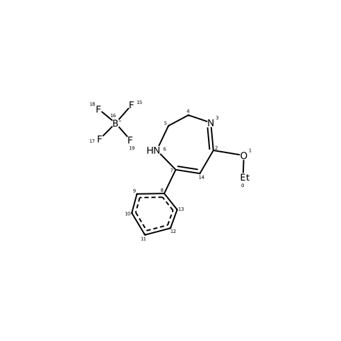 CCOC1=NCCNC(c2ccccc2)=C1.F[B-](F)(F)F